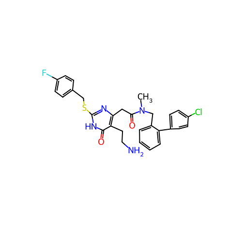 CN(Cc1ccccc1-c1ccc(Cl)cc1)C(=O)Cc1nc(SCc2ccc(F)cc2)[nH]c(=O)c1CCN